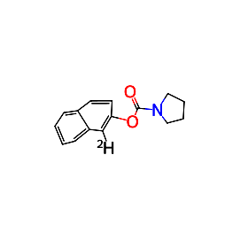 [2H]c1c(OC(=O)N2CCCC2)ccc2ccccc12